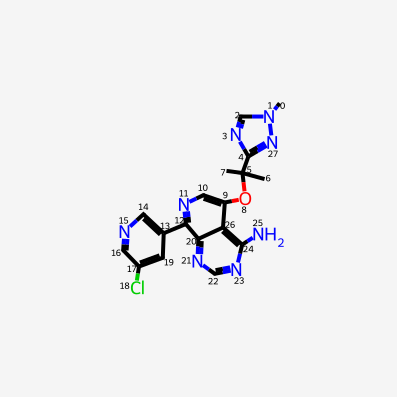 Cn1cnc(C(C)(C)Oc2cnc(-c3cncc(Cl)c3)c3ncnc(N)c23)n1